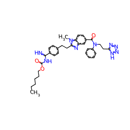 CCCCCCOC(=O)NC(=N)c1ccc(CCc2nc3cc(C(=O)N(CCc4nnn[nH]4)c4ccccc4)ccc3n2C)cc1